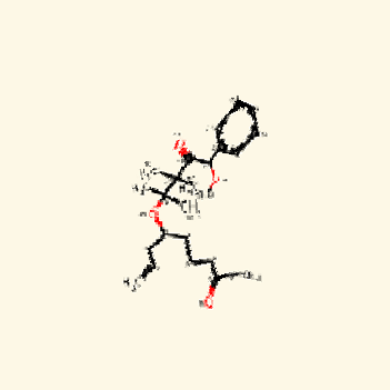 C=CCC(CCCC(=O)C(C)(C)C)OC(C)(C)C(C)(C)C(=O)C(OC(C)(C)C)c1ccccc1